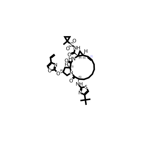 C=Cc1coc(O[C@@H]2C[C@H]3C(=O)N[C@]4(C(=O)NS(=O)(=O)C5(C)CC5)C[C@H]4/C=C\CCCCC[C@H](Nc4nc(C(C)(C)C)cs4)C(=O)N3C2)n1